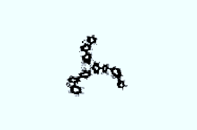 c1ccc(-c2cccc(-c3ccc(-c4ccc(N(c5ccc(-c6ccc7oc8ccccc8c7c6)cc5)c5ccc(-c6ccc7oc8ccccc8c7c6)cc5)cc4)cc3)c2)cc1